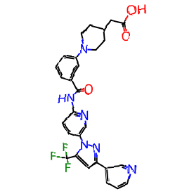 O=C(O)CC1CCN(c2cccc(C(=O)Nc3ccc(-n4nc(-c5cccnc5)cc4C(F)(F)F)cn3)c2)CC1